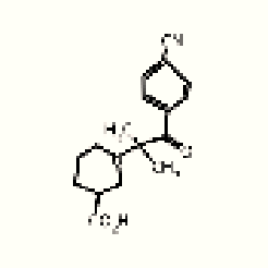 CC(C)(C(=O)c1ccc(C#N)cc1)N1CCCC(C(=O)O)C1